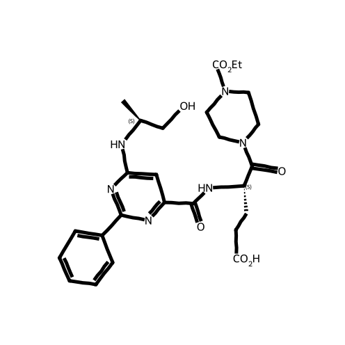 CCOC(=O)N1CCN(C(=O)[C@H](CCC(=O)O)NC(=O)c2cc(N[C@@H](C)CO)nc(-c3ccccc3)n2)CC1